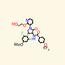 COc1cc(F)c([C@@H]2CN(c3cccnc3OCCO)C(=O)[C@H]2NC(=O)c2ccc(OC(F)(F)F)cc2)c(F)c1